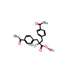 CCC(C)OC(=O)C(Cc1ccc(C(=O)C(C)(C)C)cc1)(Cc1ccc(C(=O)C(C)(C)C)cc1)C(=O)O